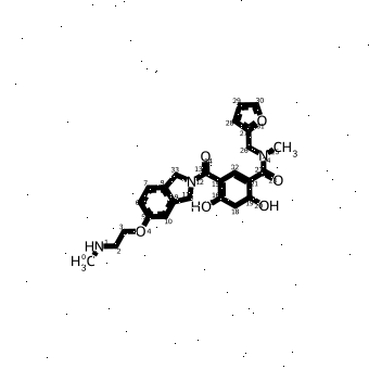 CNCCOc1ccc2c(c1)CN(C(=O)C1=C(O)CC(O)C(C(=O)N(C)Cc3ccco3)=C1)C2